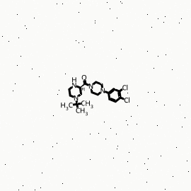 CC(C)(C)N1CCN[C@@H](C(=O)N2CCN(c3ccc(Cl)c(Cl)c3)CC2)C1